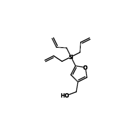 C=CC[Si](CC=C)(CC=C)c1cc(CO)co1